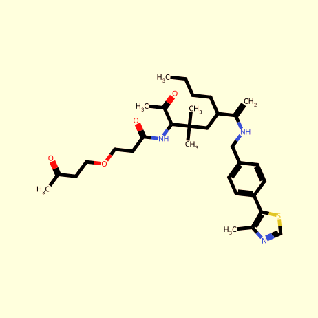 C=C(NCc1ccc(-c2scnc2C)cc1)C(CCCC)CC(C)(C)C(NC(=O)CCOCCC(C)=O)C(C)=O